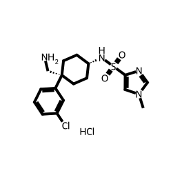 Cl.Cn1cnc(S(=O)(=O)N[C@H]2CC[C@](CN)(c3cccc(Cl)c3)CC2)c1